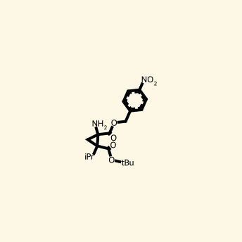 CC(C)C1(C(=O)OC(C)(C)C)CC1(N)C(=O)OCc1ccc([N+](=O)[O-])cc1